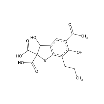 CCCc1c(O)c(C(C)=O)cc2c1SC(C(=O)O)(C(=O)O)C2O